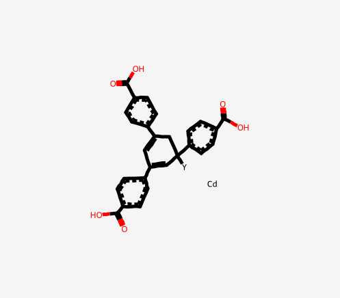 O=C(O)c1ccc(C2=C[C]([Y])(c3ccc(C(=O)O)cc3)CC(c3ccc(C(=O)O)cc3)=C2)cc1.[Cd]